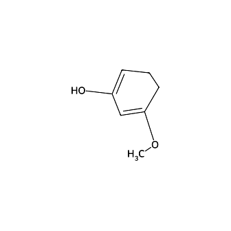 COC1=CC(O)=CCC1